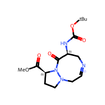 COC(=O)[C@@H]1CCN2C/C=N\C[C@H](NC(=O)OC(C)(C)C)C(=O)N12